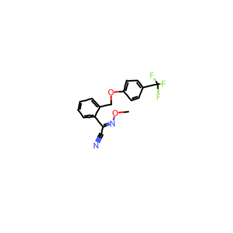 CO/N=C(/C#N)c1ccccc1COc1ccc(C(F)(F)F)cc1